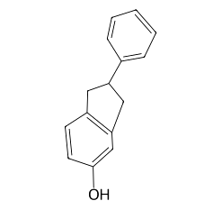 Oc1ccc2c(c1)CC(c1ccccc1)C2